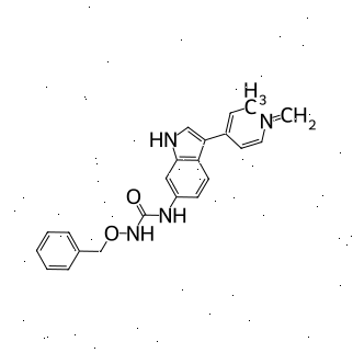 C=N/C=C\C(=C/C)c1c[nH]c2cc(NC(=O)NOCc3ccccc3)ccc12